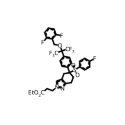 CCOC(=O)CCn1cc2c(n1)CCC(c1ccc(C(OCc3c(F)cccc3F)(C(F)(F)F)C(F)(F)F)cc1)(S(=O)(=O)c1ccc(F)cc1)C2